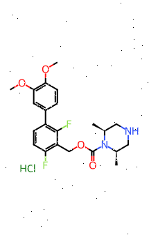 COc1ccc(-c2ccc(F)c(COC(=O)N3[C@H](C)CNC[C@@H]3C)c2F)cc1OC.Cl